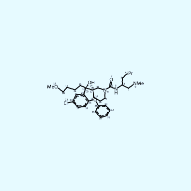 CNCC(CC(C)C)NC(=O)N1CCC[C@@H]([C@@](O)(CCCCOC)c2cc(Cl)ccc2Oc2ccccc2)C1